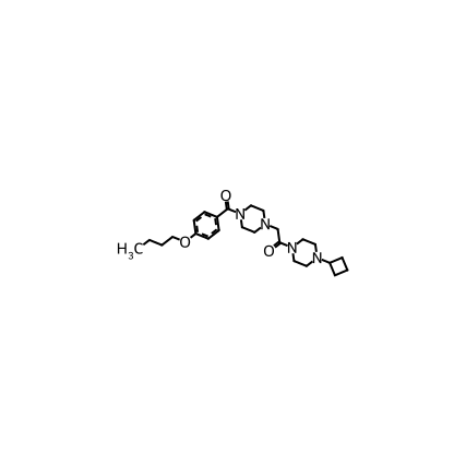 CCCCOc1ccc(C(=O)N2CCN(CC(=O)N3CCN(C4CCC4)CC3)CC2)cc1